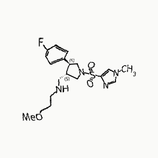 COCCCNC[C@H]1CN(S(=O)(=O)c2cn(C)cn2)C[C@@H]1c1ccc(F)cc1